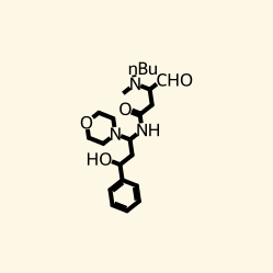 CCCCN(C)C(C=O)CC(=O)NC(CC(O)c1ccccc1)N1CCOCC1